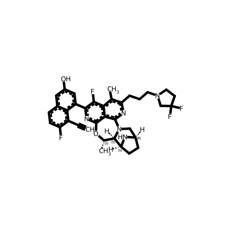 C#Cc1c(F)ccc2cc(O)cc(-c3nc4c5c(nc(CCCN6CCC(F)(F)C6)c(C)c5c3F)N3C[C@H]5CC[C@H](N5)[C@H]3[C@H](C)O4)c12